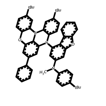 CN(c1ccc(C(C)(C)C)cc1)c1cc(N2c3ccc(C(C)(C)C)cc3B3c4cc(C(C)(C)C)ccc4Oc4cc(-c5ccccc5)cc2c43)c2c(c1)oc1ccccc12